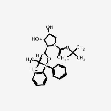 CC(C)(C)OC(=O)N1C[C@@H](O)[C@@H](O)[C@@H]1CO[Si](c1ccccc1)(c1ccccc1)C(C)(C)C